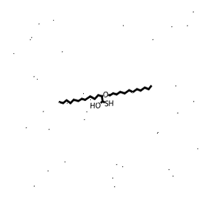 CCCCCCCCCCCCOC(CCCCCCCCCCC)C(O)S